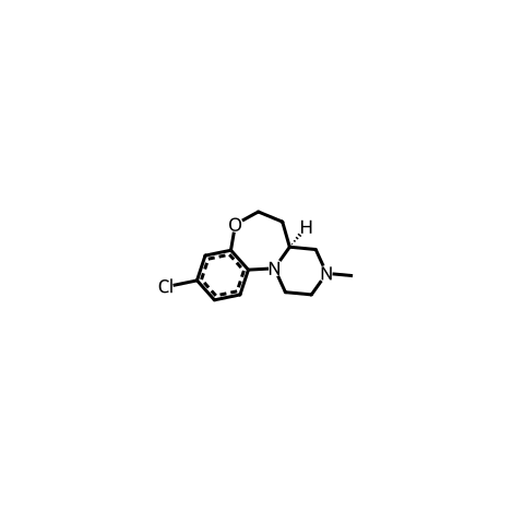 CN1CCN2c3ccc(Cl)cc3OCC[C@H]2C1